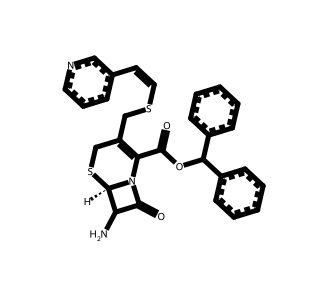 NC1C(=O)N2C(C(=O)OC(c3ccccc3)c3ccccc3)=C(CS/C=C\c3cccnc3)CS[C@H]12